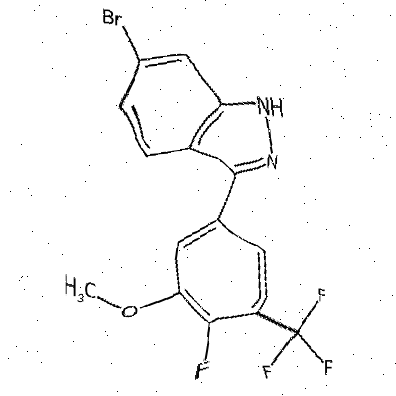 COc1cc(-c2n[nH]c3cc(Br)ccc23)cc(C(F)(F)F)c1F